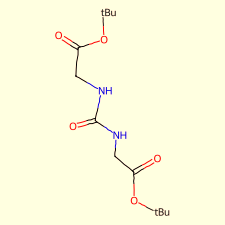 CC(C)(C)OC(=O)CNC(=O)NCC(=O)OC(C)(C)C